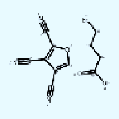 N#Cc1coc(C#N)c1C#N.O=C(O)CCCBr